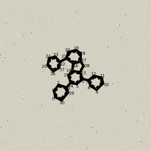 c1ccc(-c2cc(-c3ccccc3)c3c(c2)-c2c(cccc2-c2ccccc2)C3)cc1